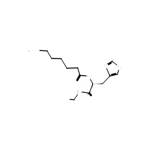 CCCCCCCCCCCCCCCC(=O)N[C@@H](Cc1c[nH]cn1)C(=O)NCC(=O)O